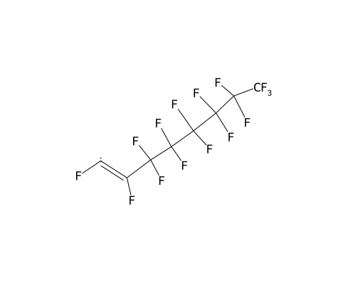 F/[C]=C(\F)C(F)(F)C(F)(F)C(F)(F)C(F)(F)C(F)(F)C(F)(F)F